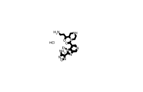 CCn1c(-c2nonc2N)nc2cncc(C(=O)N3CCNCC3C(=O)CCN)c21.Cl